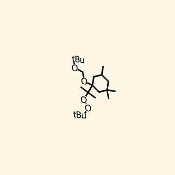 CC1CC(C)(C)CC(OCOC(C)(C)C)(C(C)(C)OOC(C)(C)C)C1